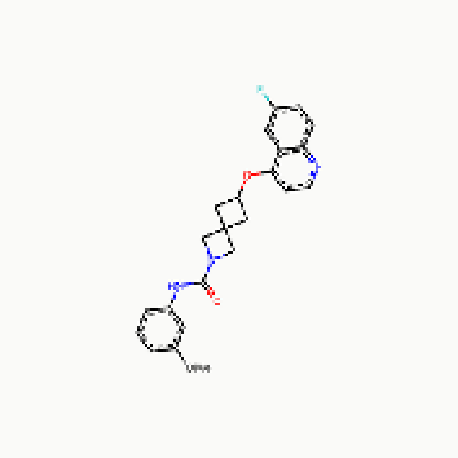 COc1cccc(NC(=O)N2CC3(CC(Oc4ccnc5ccc(F)cc45)C3)C2)c1